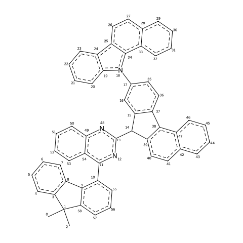 CC1(C)c2ccccc2-c2c(-c3nc(C4c5cc(-n6c7ccccc7c7ccc8ccccc8c76)ccc5-c5c4ccc4ccccc54)nc4ccccc34)cccc21